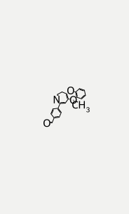 COC1=C(Oc2ccccc2)CC=NC(c2ccc(C=O)cc2)=C1